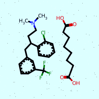 CN(C)CCC(Cc1cccc(C(F)(F)F)c1)c1ccccc1Cl.O=C(O)CCCCCCC(=O)O